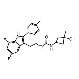 CC1(O)CC(NC(=O)OCCc2c(-c3ccc(F)cc3)[nH]c3c(F)cc(F)cc23)C1